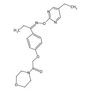 CCC(=NOc1ncc(CC)cn1)c1ccc(OCC(=O)N2CCOCC2)cc1